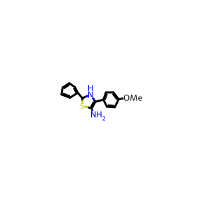 COc1ccc(C2=C(N)SC(c3ccccc3)N2)cc1